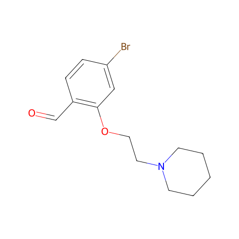 O=Cc1ccc(Br)cc1OCCN1CCCCC1